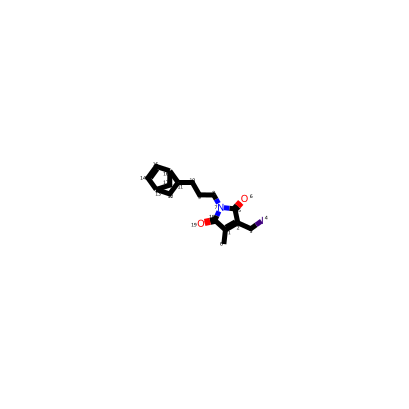 CC1=C(CI)C(=O)N(CCCC2CC3C=CC2C3)C1=O